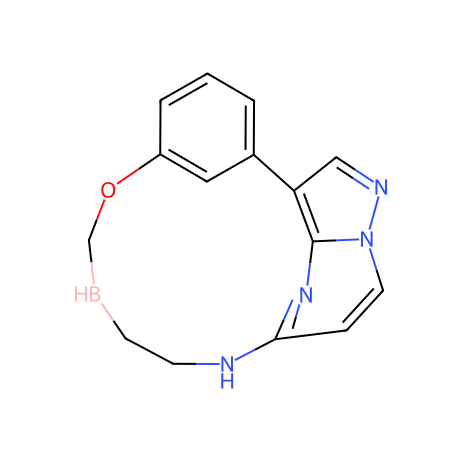 B1CCNc2ccn3ncc(c3n2)-c2cccc(c2)OC1